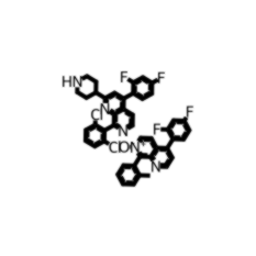 Cc1ccccc1-c1c2nccc(-c3ccc(F)cc3F)c2cc[n+]1[O-].Fc1ccc(-c2cc(C3CCNCC3)nc3c(-c4c(Cl)cccc4Cl)nccc23)c(F)c1